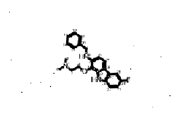 CN(C)CCOc1c(NCc2ccccc2)ccc2c1[nH]c1ccc(F)cc12